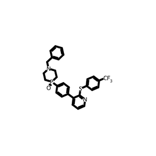 O=P1(c2ccc(-c3cccnc3Sc3ccc(C(F)(F)F)cc3)cc2)CCN(Cc2ccccc2)CC1